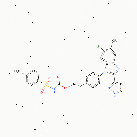 Cc1ccc(S(=O)(=O)NC(=O)OCCc2ccc(-n3c(-c4cc[nH]n4)nc4cc(C(F)(F)F)c(Cl)cc43)cc2)cc1